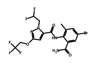 Cc1cc(Br)cc(C(N)=O)c1NC(=O)c1cc(OCC(F)(F)F)nn1CC(F)F